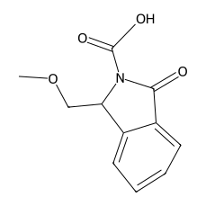 COCC1c2ccccc2C(=O)N1C(=O)O